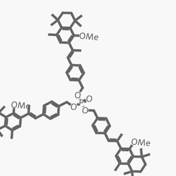 COc1c(/C(C)=C/c2ccc(COP(=O)(OCc3ccc(/C=C(\C)c4cc(C)c5c(c4OC)C(C)(C)CCC5(C)C)cc3)OCc3ccc(/C=C(\C)c4cc(C)c5c(c4OC)C(C)(C)CCC5(C)C)cc3)cc2)cc(C)c2c1C(C)(C)CCC2(C)C